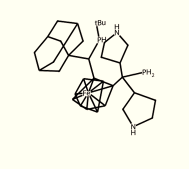 CC(C)(C)PC(C12CC3CC(CC(C3)C1)C2)[C]12[CH]3[CH]4[CH]5[C]1(C(P)(C1CCNC1)C1CCNC1)[Fe]43521678[CH]2[CH]1[CH]6[CH]7[CH]28